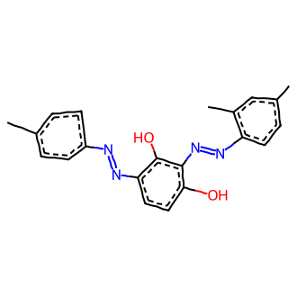 Cc1ccc(/N=N/c2ccc(O)c(/N=N/c3ccc(C)cc3C)c2O)cc1